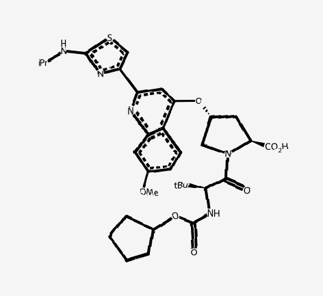 COc1ccc2c(O[C@@H]3C[C@@H](C(=O)O)N(C(=O)[C@@H](NC(=O)OC4CCCC4)C(C)(C)C)C3)cc(-c3csc(NC(C)C)n3)nc2c1